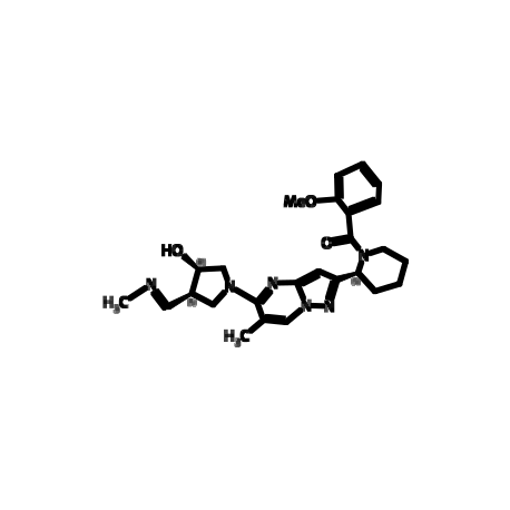 CN=C[C@@H]1CN(c2nc3cc([C@@H]4CCCCN4C(=O)c4ccccc4OC)nn3cc2C)C[C@@H]1O